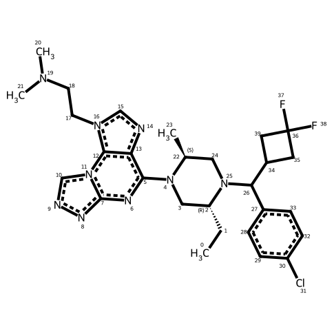 CC[C@@H]1CN(c2nc3nncn3c3c2ncn3CCN(C)C)[C@@H](C)CN1C(c1ccc(Cl)cc1)C1CC(F)(F)C1